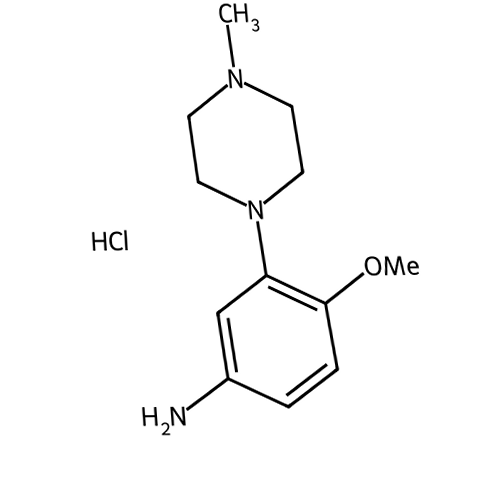 COc1ccc(N)cc1N1CCN(C)CC1.Cl